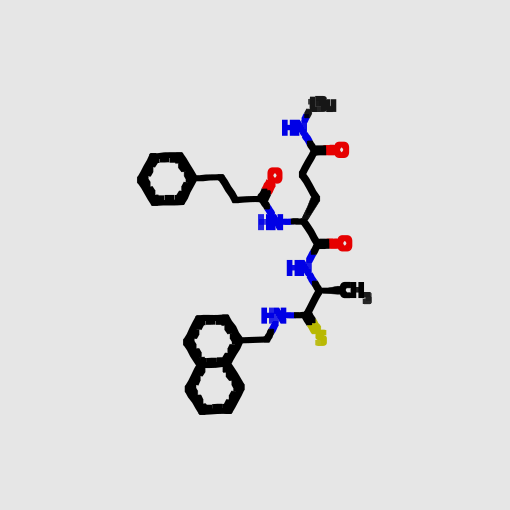 C[C@H](NC(=O)[C@H](CCC(=O)NC(C)(C)C)NC(=O)CCc1ccccc1)C(=S)NCc1cccc2ccccc12